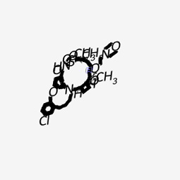 CO[C@]1(COCCN2CCOCC2)/C=C/C[C@H](C)[C@@H](C)S(=O)(=O)NC(=O)c2ccc3c(c2)N(CCCCc2cc(Cl)ccc2CO3)C[C@@H]2CC[C@H]21